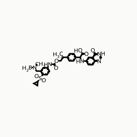 BN(C)Cc1cc(NC(=O)OC[C@H](C)c2ccc(C(Nc3ccc4nc[nH]c(=O)c4c3)C(=O)O)cc2)ccc1S(=O)(=O)C1CC1